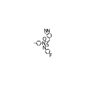 Cc1ccc(N2C(=O)C(=Cc3ccc4c(cnn4C)c3)SC2=Nc2ccc(F)cc2)cc1